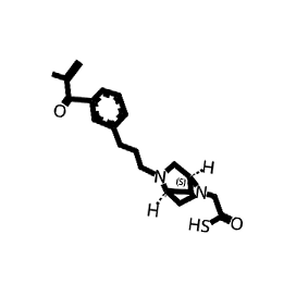 C=C(C)C(=O)c1cccc(CCCN2C[C@@H]3C[C@H]2CN3CC(=O)S)c1